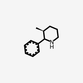 C[C@H]1CCCNC1c1ccccc1